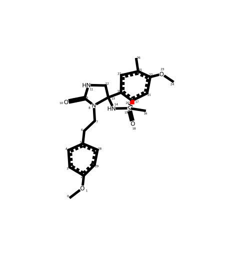 COc1ccc(CCN2C(=O)NCC2(NS(C)(=O)=O)c2ccc(OC)c(C)c2)cc1